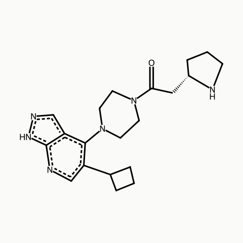 O=C(C[C@@H]1CCCN1)N1CCN(c2c(C3CCC3)cnc3[nH]ncc23)CC1